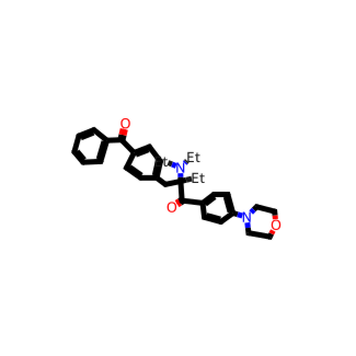 CCN(CC)C(CC)(Cc1ccc(C(=O)c2ccccc2)cc1)C(=O)c1ccc(N2CCOCC2)cc1